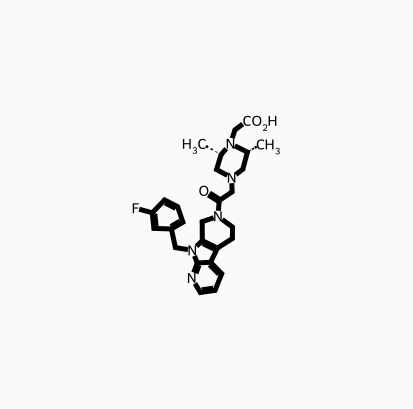 C[C@@H]1CN(CC(=O)N2CCc3c(n(Cc4cccc(F)c4)c4ncccc34)C2)C[C@H](C)N1CC(=O)O